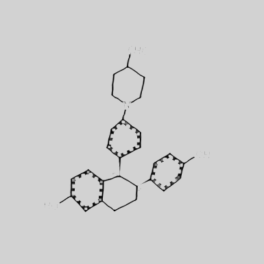 O=CC1CCN(c2ccc([C@@H]3c4ccc(O)cc4CC[C@@H]3c3ccc(O)cc3)cc2)CC1